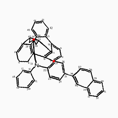 C1=C2C3=C(CC1)c1cccc(c1-c1cc(N(c4ccccc4)c4ccc(-c5ccc6ccccc6c5)cc4)ccc12)-c1ccccc13